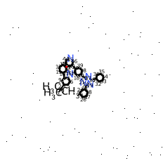 CC(C)(C)c1ccc2c(c1)c1ccccc1n2-c1cc(-c2nc(-c3ccccc3)nc(-c3ccccc3)n2)ccc1-c1cccnc1